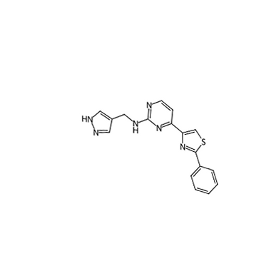 c1ccc(-c2nc(-c3ccnc(NCc4cn[nH]c4)n3)cs2)cc1